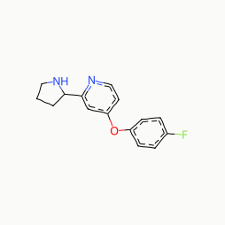 Fc1ccc(Oc2ccnc(C3CCCN3)c2)cc1